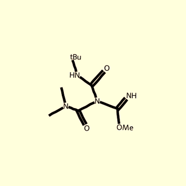 COC(=N)N(C(=O)NC(C)(C)C)C(=O)N(C)C